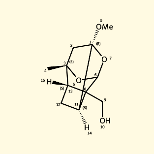 CO[C@]12C[C@]3(C)OC(O1)C1(CO)[C@H]2C[C@@H]13